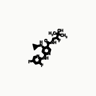 CC(C)(O)C(F)CNC(=O)c1cnc(Nc2ncc(F)cc2F)cc1NC1CC1